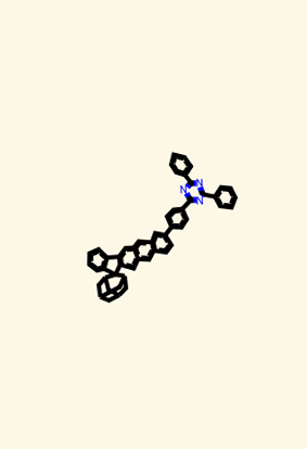 c1ccc(-c2nc(-c3ccccc3)nc(-c3ccc(-c4ccc5cc6cc7c(cc6cc5c4)-c4ccccc4C74C5CC6CC(C5)CC4C6)cc3)n2)cc1